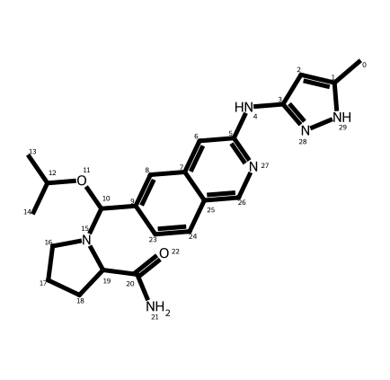 Cc1cc(Nc2cc3cc(C(OC(C)C)N4CCCC4C(N)=O)ccc3cn2)n[nH]1